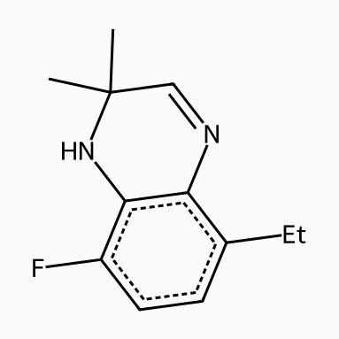 CCc1ccc(F)c2c1N=CC(C)(C)N2